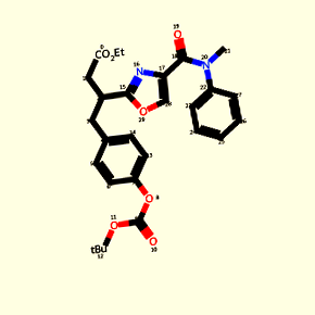 CCOC(=O)CC(Cc1ccc(OC(=O)OC(C)(C)C)cc1)c1nc(C(=O)N(C)c2ccccc2)co1